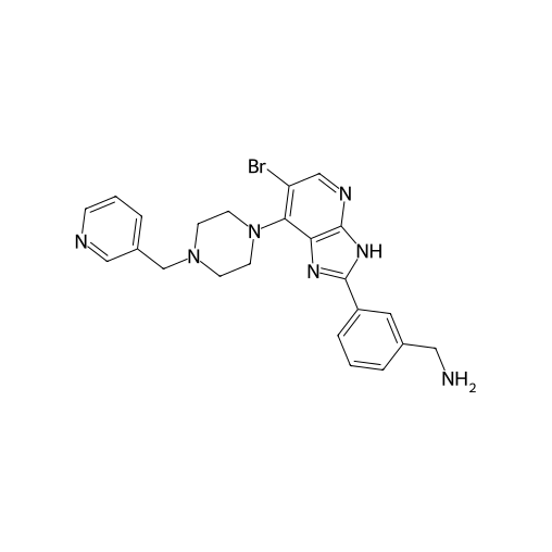 NCc1cccc(-c2nc3c(N4CCN(Cc5cccnc5)CC4)c(Br)cnc3[nH]2)c1